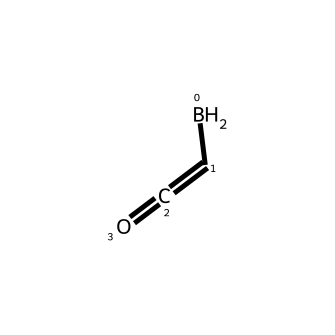 BC=C=O